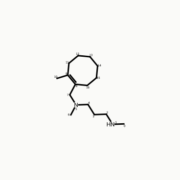 CNCCCN(C)C/C1=C(\C)CCCCCC1